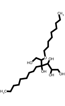 CCCCCCCCCOC(CO)C(O)(CCCCCCCCC)C(O)C(O)CO